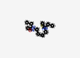 c1ccc(-c2cccc(-c3nc(-c4cccc(-c5cccc(-c6cccc(-c7cccc(-c8nc(-c9cccc(-c%10ccccc%10)c9)c9c(n8)sc8ccccc89)c7)c6)c5)c4)nc4oc5ccccc5c34)c2)cc1